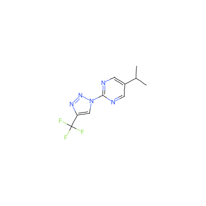 CC(C)c1cnc(-n2cc(C(F)(F)F)nn2)nc1